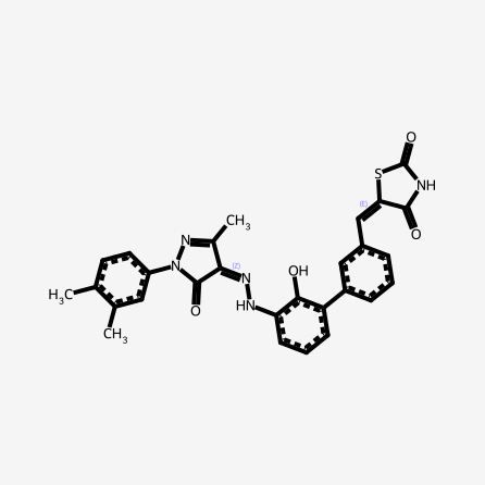 CC1=NN(c2ccc(C)c(C)c2)C(=O)/C1=N\Nc1cccc(-c2cccc(/C=C3/SC(=O)NC3=O)c2)c1O